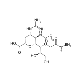 BNC(=O)CO[C@@H]([C@@H]1OC(C(=O)O)=C[C@H](NC(=N)N)[C@H]1NC(C)=O)[C@H](O)CO